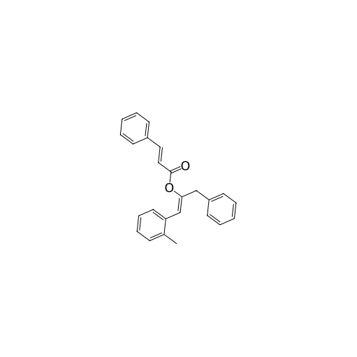 Cc1ccccc1C=C(Cc1ccccc1)OC(=O)C=Cc1ccccc1